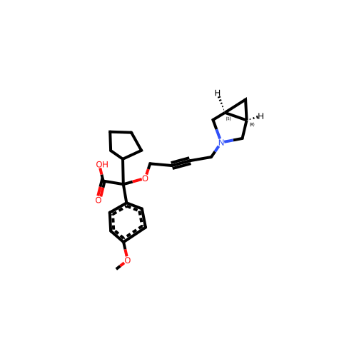 COc1ccc(C(OCC#CCN2C[C@H]3C[C@H]3C2)(C(=O)O)C2CCCC2)cc1